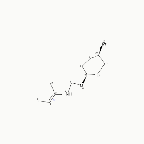 C/C=C(\C)NCO[C@H]1CC[C@@H](C(C)C)CC1